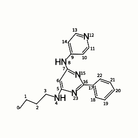 CCCCNc1cc(Nc2ccncc2)nc(-c2ccccc2)n1